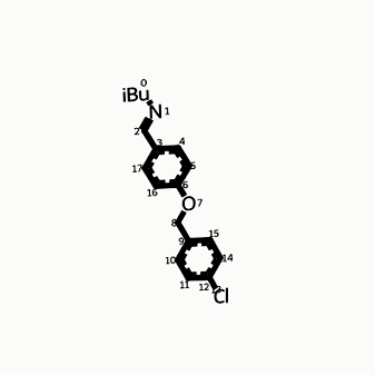 CCC(C)N=Cc1ccc(OCc2ccc(Cl)cc2)cc1